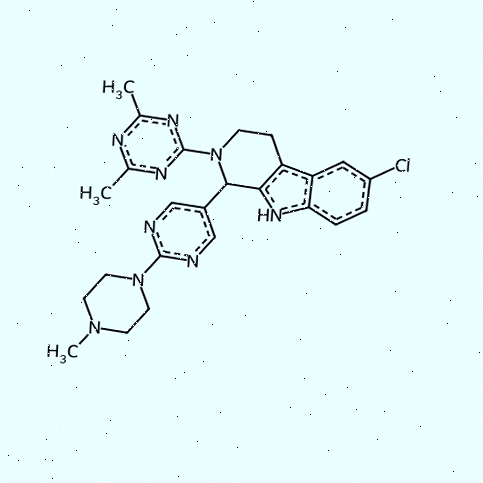 Cc1nc(C)nc(N2CCc3c([nH]c4ccc(Cl)cc34)C2c2cnc(N3CCN(C)CC3)nc2)n1